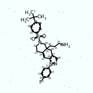 CC(C)(C)c1ccc(S(=O)(=O)N2CCC3=Cc4c(cnn4-c4ccc(F)cc4)CC3(CCCN)C2)cc1